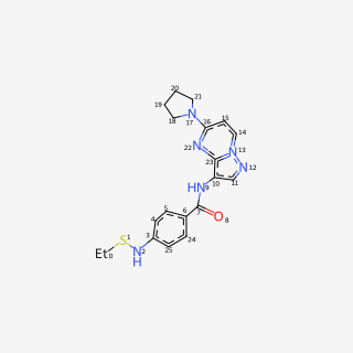 CCSNc1ccc(C(=O)Nc2cnn3ccc(N4CCCC4)nc23)cc1